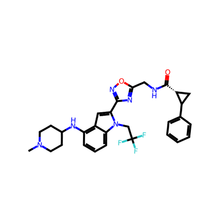 CN1CCC(Nc2cccc3c2cc(-c2noc(CNC(=O)[C@@H]4CC4c4ccccc4)n2)n3CC(F)(F)F)CC1